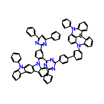 c1ccc(-c2cc(-c3ccccc3)nc(-c3ccc(-n4c5ccccc5c5cc6c7ccccc7n(-c7ccccc7)c6cc54)c(-c4nc(-c5ccccc5)nc(-c5ccc(-c6cccc(N7c8ccccc8B8c9ccccc9N(c9ccccc9)c9cccc7c98)c6)cc5)n4)c3)n2)cc1